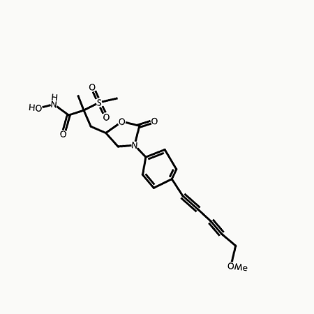 COCC#CC#Cc1ccc(N2CC(CC(C)(C(=O)NO)S(C)(=O)=O)OC2=O)cc1